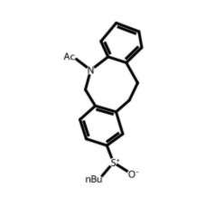 CCCC[S+]([O-])c1ccc2c(c1)CCc1ccccc1N(C(C)=O)C2